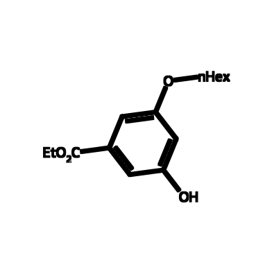 CCCCCCOc1cc(O)cc(C(=O)OCC)c1